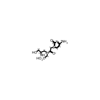 Nc1ccn(CC(=O)N(CC(=O)O)CC(N)CO)c(=O)n1